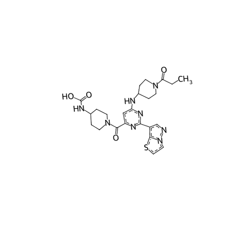 CCC(=O)N1CCC(Nc2cc(C(=O)N3CCC(NC(=O)O)CC3)nc(-c3cnn4ccsc34)n2)CC1